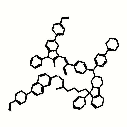 C=CC1=CC=C(C2=CC=C3C(C2)C(/C=C(\C=C)c2ccc(N(c4ccc(C5=CCCCC5)cc4)C4CCC5C6=C(C=CCC6)C(CCCCC(C)COc6ccc7cc(C8CC=C(C=C)CC8)ccc7c6)(C6C=CC=CC6)C5C4)cc2)=C(C)N3c2ccccc2)CC1